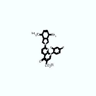 CCOC(=O)c1cn(-c2ccc(F)cc2F)c2nc(N3CC4C(C)C=CC(N)C4C3)ccc2c1=O